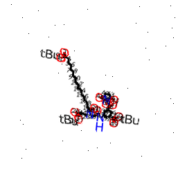 CC(C)(C)OC(=O)CCCCCCCCCCCCCCCCC(=O)N(CCC(=O)OC(C)(C)C)CC(=O)Nc1cc(C(=O)ON2C(=O)CCC2=O)cc(C(=O)OC(C)(C)C)c1